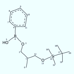 CC(COB(O)c1ccccc1)CO[Si](C)(C)C(C)(C)C